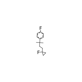 CC(C)(CCC1(F)CC1)c1ccc(F)cc1